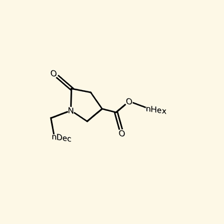 CCCCCCCCCCCN1CC(C(=O)OCCCCCC)CC1=O